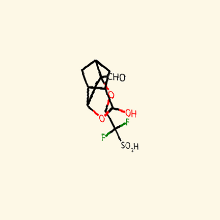 O=CC1(OCC(F)(F)S(=O)(=O)O)C2CC3C(O)OC1C3C2